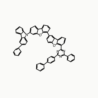 c1ccc(-c2ccc(-c3nc(-c4ccccc4)nc(-c4cccc5c4oc4ccc(-c6cccc7c6oc6cc(-n8c9ccccc9c9cc(-c%10ccccc%10)ccc98)ccc67)cc45)n3)cc2)cc1